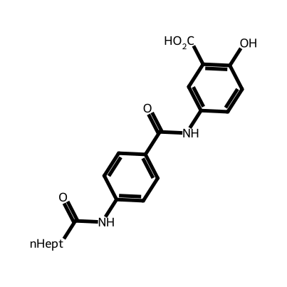 CCCCCCCC(=O)Nc1ccc(C(=O)Nc2ccc(O)c(C(=O)O)c2)cc1